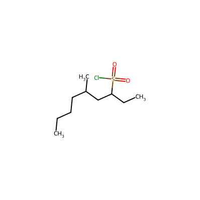 CCCCC(C)CC(CC)S(=O)(=O)Cl